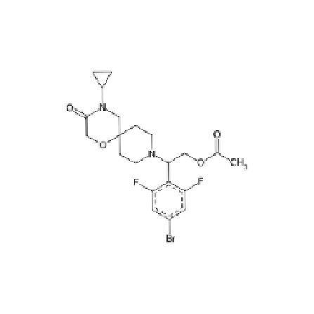 CC(=O)OCC(c1c(F)cc(Br)cc1F)N1CCC2(CC1)CN(C1CC1)C(=O)CO2